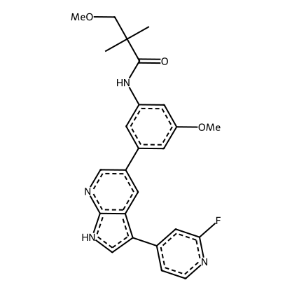 COCC(C)(C)C(=O)Nc1cc(OC)cc(-c2cnc3[nH]cc(-c4ccnc(F)c4)c3c2)c1